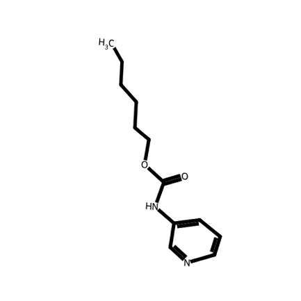 CCCCCCOC(=O)Nc1cccnc1